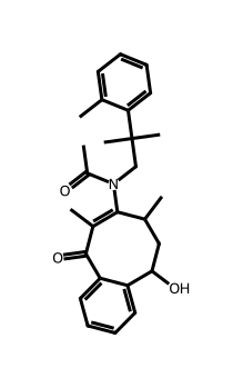 CC(=O)N(CC(C)(C)c1ccccc1C)/C1=C(\C)C(=O)c2ccccc2C(O)CC1C